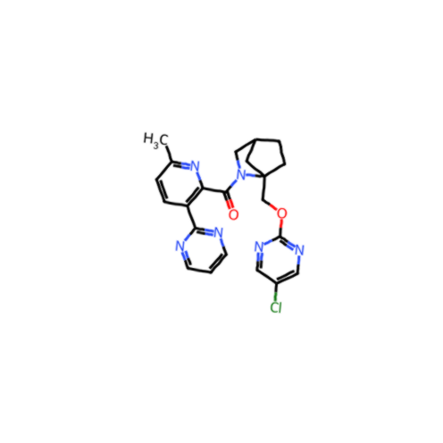 Cc1ccc(-c2ncccn2)c(C(=O)N2CC3CCC2(COc2ncc(Cl)cn2)C3)n1